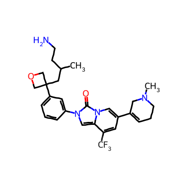 CC(CCN)CC1(c2cccc(-n3cc4c(C(F)(F)F)cc(C5=CCCN(C)C5)cn4c3=O)c2)COC1